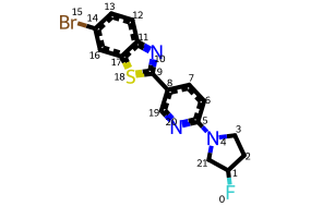 FC1CCN(c2ccc(-c3nc4ccc(Br)cc4s3)cn2)C1